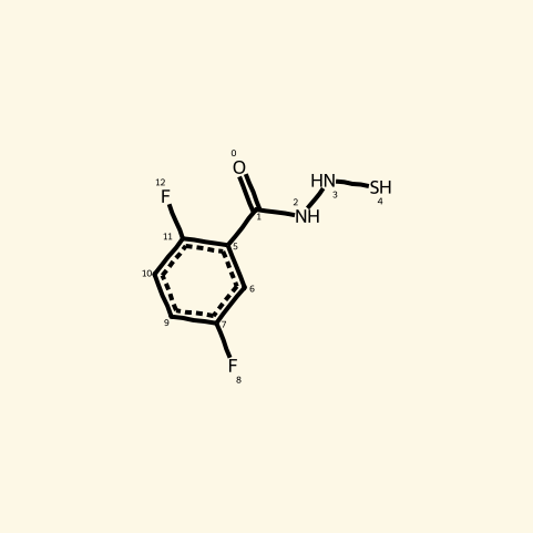 O=C(NNS)c1cc(F)ccc1F